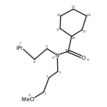 COCCCN(CCC(C)C)C(=O)C1CCCCC1